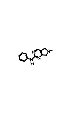 CN1Cc2cnc(Nc3ccccc3)nc2C1